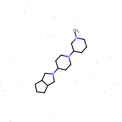 CN1CCCC(N2CCC(N3CC4CCCC4C3)CC2)C1